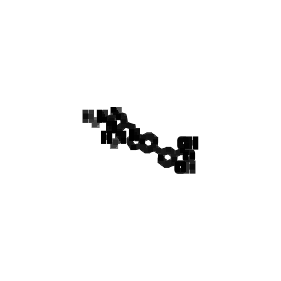 Nc1ncc(CN2CCc3cc(-c4ccc(O)c(C(=O)O)c4)ccc32)c(N)n1